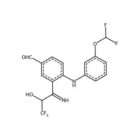 N=C(c1cc(C=O)ccc1Nc1cccc(OC(F)F)c1)C(O)C(F)(F)F